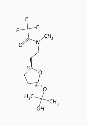 CN(CC[C@@H]1CC[C@@H](OC(C)(C)O)O1)C(=O)C(F)(F)F